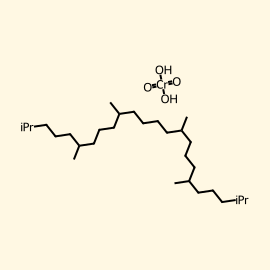 CC(C)CCCC(C)CCCC(C)CCCCC(C)CCCC(C)CCCC(C)C.[O]=[Cr](=[O])([OH])[OH]